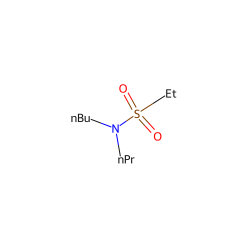 CCCCN(CCC)S(=O)(=O)CC